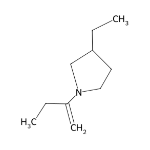 C=C(CC)N1CCC(CC)C1